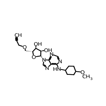 C#CCOC[C@H]1O[C@@H](n2cnc3c(NC4CCC(OC)CC4)ncnc32)[C@H](O)[C@@H]1O